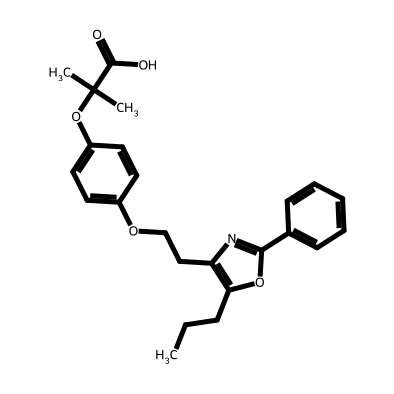 CCCc1oc(-c2ccccc2)nc1CCOc1ccc(OC(C)(C)C(=O)O)cc1